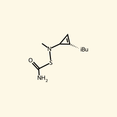 CC[C@@H](C)C1=CC1N(C)SC(N)=O